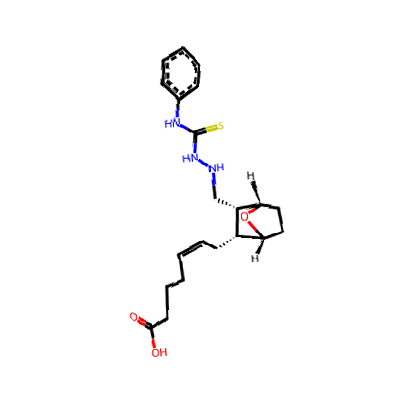 O=C(O)CCC/C=C\C[C@@H]1[C@H](CNNC(=S)Nc2ccccc2)[C@@H]2CC[C@H]1O2